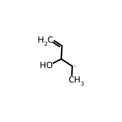 C=CC(O)[CH]C